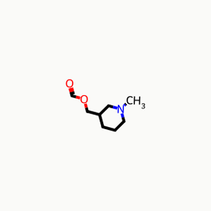 CN1CCCC(COC=O)C1